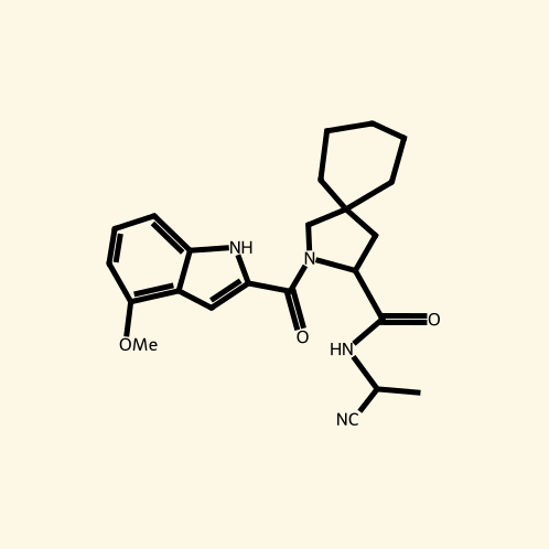 COc1cccc2[nH]c(C(=O)N3CC4(CCCCC4)CC3C(=O)NC(C)C#N)cc12